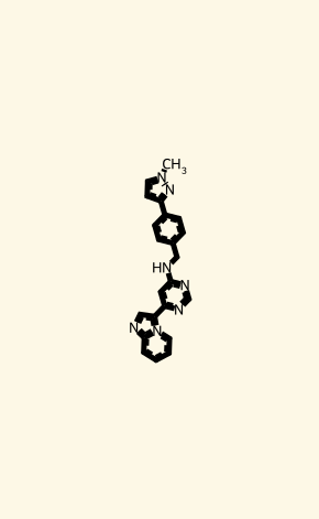 Cn1ccc(-c2ccc(CNc3cc(-c4cnc5ccccn45)ncn3)cc2)n1